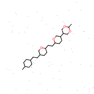 CC1CCC(CCC2CCC(CCC3CCC(C4COC(C)OC4)CO3)OC2)CC1